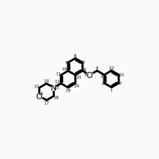 c1ccc(COc2cccc3cc(N4CCOCC4)ccc23)cc1